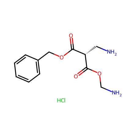 Cl.NCOC(=O)[C@@H](CN)C(=O)OCc1ccccc1